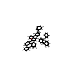 c1ccc(-c2ccc(N(c3ccc(-c4ccccc4-c4ccccc4-c4ccccc4)cc3)c3ccc4c5ccccc5n(-c5ccccc5)c4c3)c(-c3ccccc3)c2)cc1